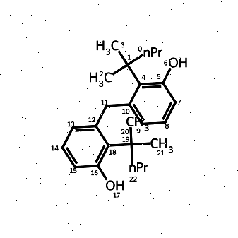 CCCC(C)(C)c1c(O)cccc1Cc1cccc(O)c1C(C)(C)CCC